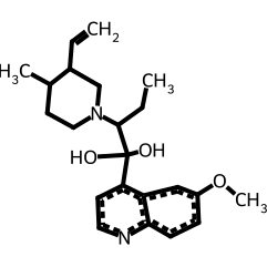 C=CC1CN(C(CC)C(O)(O)c2ccnc3ccc(OC)cc23)CCC1C